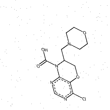 O=C(O)N1c2ncnc(Cl)c2OCC1CN1CCOCC1